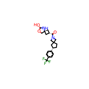 O=C([C@H]1C[C@]2(COC(O)N2)C1)N1CC2(CC[C@H](c3ccc(C(F)(F)F)cc3)C2)C1